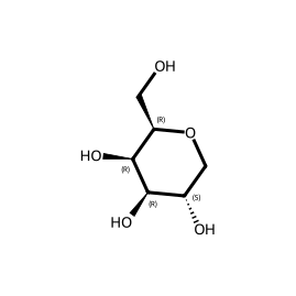 OC[C@H]1OC[C@H](O)[C@@H](O)[C@H]1O